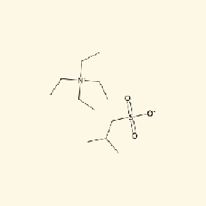 CC(C)CS(=O)(=O)[O-].CC[N+](CC)(CC)CC